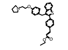 CCOC(=O)C=Cc1ccc(-c2sc3ccccc3c2Cc2ccc(OCCN3CCCC3)cc2)cc1